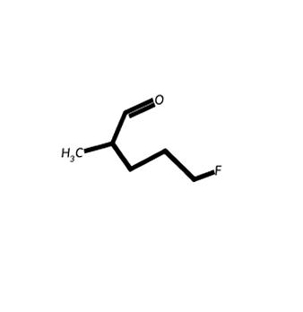 CC(C=O)CCCF